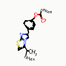 CCCCCCCCCC(=O)Oc1ccc(-c2cn3c(C(C)CCCCCC)csc3n2)cc1